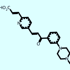 CN1CCN(c2cccc(C(=O)/C=C/c3ccc(/C=C/C(=O)O)nc3)c2)CC1